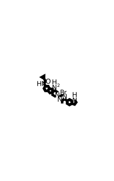 Cc1nc(N2CCC3(CC2)Cc2ccc(NC(=O)C4CC4)cc2[C@H]3N)c(Br)nc1-c1ccc2cc[nH]c2c1